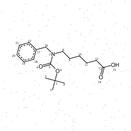 CC(C)(C)OC(=O)N(CCCCCC(=O)O)Cc1ccccc1